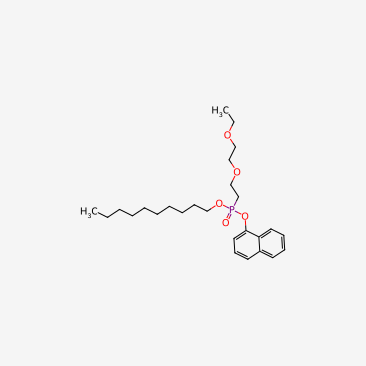 CCCCCCCCCCOP(=O)(CCOCCOCC)Oc1cccc2ccccc12